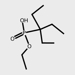 CCOP(=O)(O)C(CC)(CC)CC